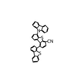 N#Cc1ccc(-c2cccc3c2sc2ccccc23)c2c1sc1c(-n3c4ccccc4c4ccccc43)cccc12